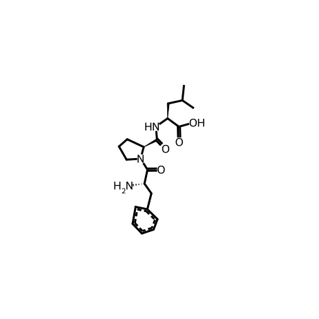 CC(C)C[C@H](NC(=O)[C@@H]1CCCN1C(=O)[C@@H](N)Cc1ccccc1)C(=O)O